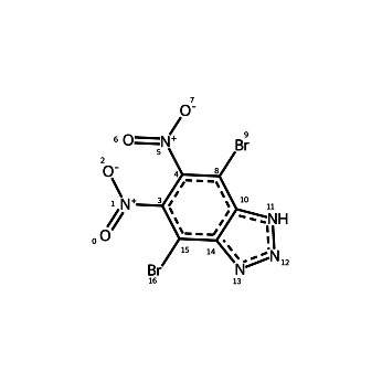 O=[N+]([O-])c1c([N+](=O)[O-])c(Br)c2[nH]nnc2c1Br